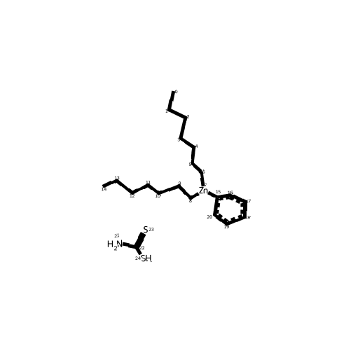 CCCCCC[CH2][Zn]([CH2]CCCCCC)[c]1ccccc1.NC(=S)S